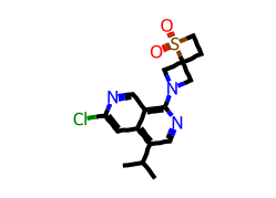 CC(C)c1cnc(N2CC3(CCS3(=O)=O)C2)c2cnc(Cl)cc12